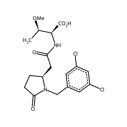 CO[C@H](C)[C@H](NC(=O)C[C@@H]1CCC(=O)N1Cc1cc(Cl)cc(Cl)c1)C(=O)O